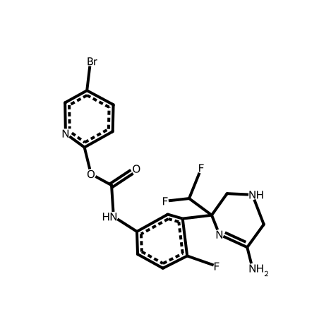 NC1=NC(c2cc(NC(=O)Oc3ccc(Br)cn3)ccc2F)(C(F)F)CNC1